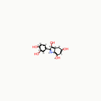 OC1=CC(O)=C2N=C(c3ccc(O)c(O)c3)C(O)=C2C1